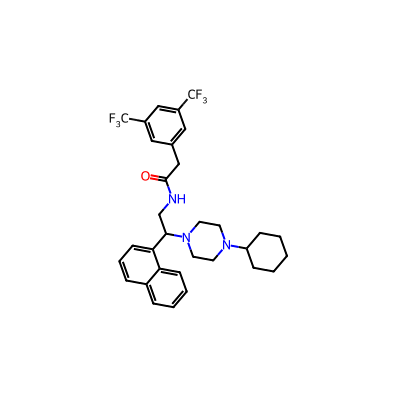 O=C(Cc1cc(C(F)(F)F)cc(C(F)(F)F)c1)NCC(c1cccc2ccccc12)N1CCN(C2CCCCC2)CC1